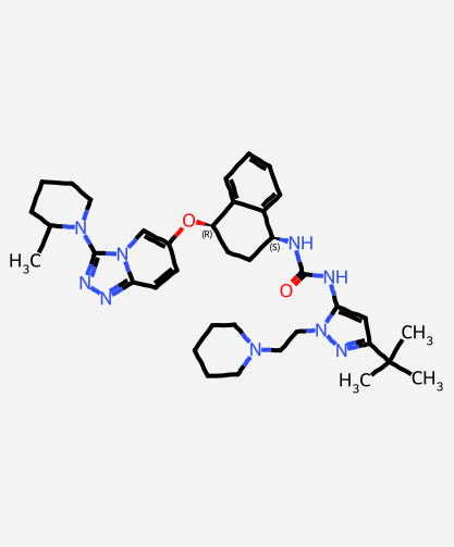 CC1CCCCN1c1nnc2ccc(O[C@@H]3CC[C@H](NC(=O)Nc4cc(C(C)(C)C)nn4CCN4CCCCC4)c4ccccc43)cn12